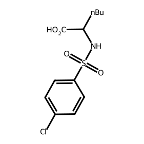 CCCCC(NS(=O)(=O)c1ccc(Cl)cc1)C(=O)O